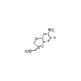 CC(=O)OC[C@H]1COc2cc([N+](=O)[O-])c(Cl)cc2O1